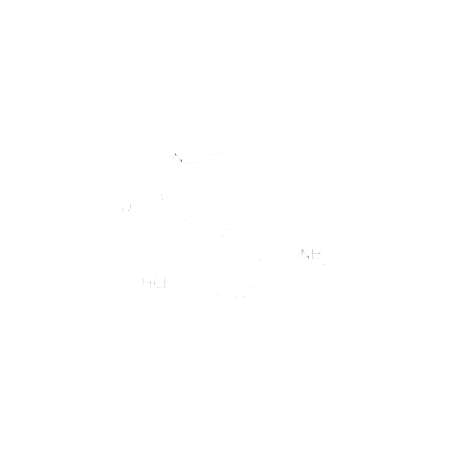 Cl.Nc1cccc2c1CC=NC2=O